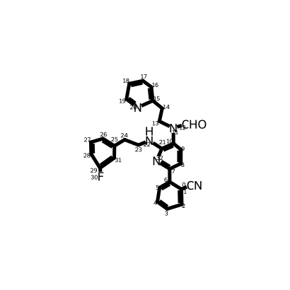 N#Cc1ccccc1-c1ccc(N(C=O)CCc2ccccn2)c(NCCc2cccc(F)c2)n1